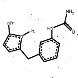 CCCc1ccc(Cc2cccc(NC(N)=O)c2)n1C(C)C